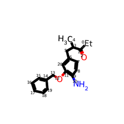 CCC(=O)C(C)Cc1ccc(N)c(OCc2ccccc2)c1